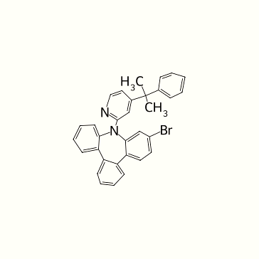 CC(C)(c1ccccc1)c1ccnc(N2c3ccccc3-c3ccccc3-c3ccc(Br)cc32)c1